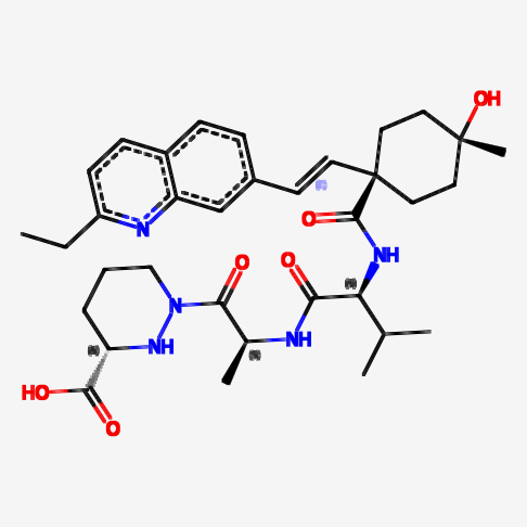 CCc1ccc2ccc(/C=C/[C@]3(C(=O)N[C@H](C(=O)N[C@@H](C)C(=O)N4CCC[C@@H](C(=O)O)N4)C(C)C)CC[C@](C)(O)CC3)cc2n1